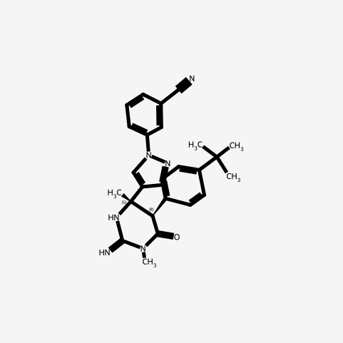 CN1C(=N)N[C@](C)(c2cnn(-c3cccc(C#N)c3)c2)[C@@H](c2ccc(C(C)(C)C)cc2)C1=O